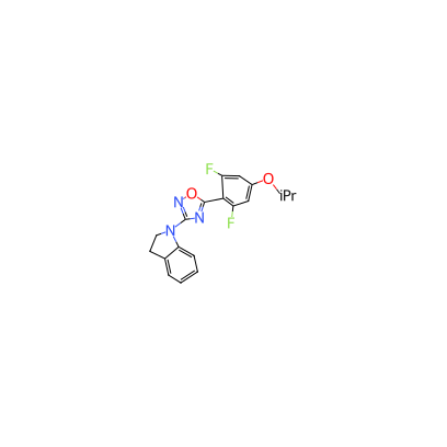 CC(C)Oc1cc(F)c(-c2nc(N3CCc4ccccc43)no2)c(F)c1